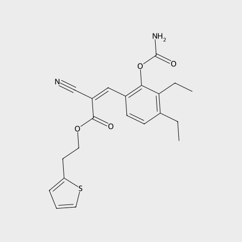 CCc1ccc(C=C(C#N)C(=O)OCCc2cccs2)c(OC(N)=O)c1CC